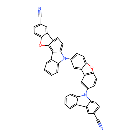 N#Cc1ccc2oc3c(ccc4c3c3ccccc3n4-c3ccc4oc5ccc(-n6c7ccccc7c7cc(C#N)ccc76)cc5c4c3)c2c1